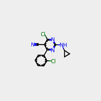 N#Cc1c(Cl)nc(NC2CC2)nc1-c1ccccc1Cl